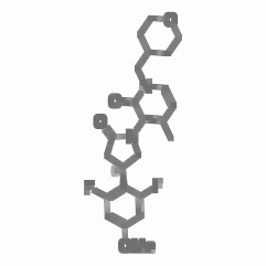 COc1cc(F)c([C@H]2CC(=O)N(c3c(C)ccn(CC4CCOCC4)c3=O)C2)c(F)c1